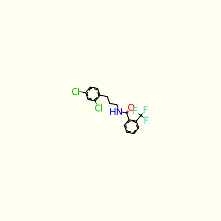 O=C(NCCCc1ccc(Cl)cc1Cl)c1ccccc1C(F)(F)F